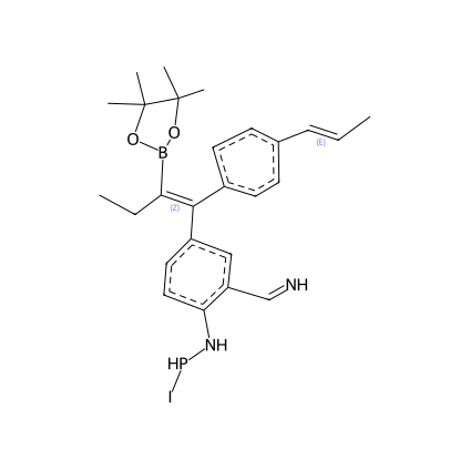 C/C=C/c1ccc(/C(=C(/CC)B2OC(C)(C)C(C)(C)O2)c2ccc(NPI)c(C=N)c2)cc1